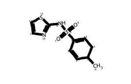 CC1C=CC(S(=O)(=O)Nc2nccs2)=CC1